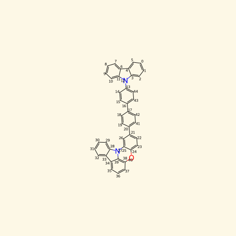 c1ccc2c(c1)c1ccccc1n2-c1ccc(-c2ccc(-c3ccc4c(c3)-n3c5ccccc5c5cccc(c53)O4)cc2)cc1